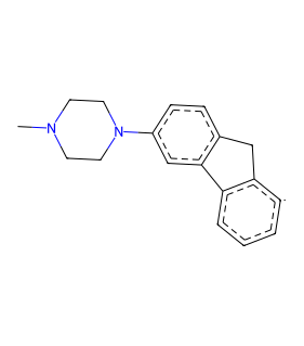 CN1CCN(c2ccc3c(c2)-c2ccc[c]c2C3)CC1